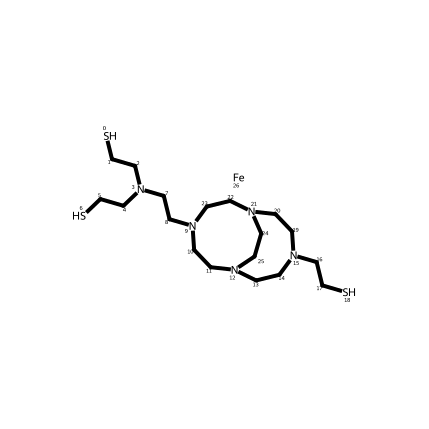 SCCN(CCS)CCN1CCN2CCN(CCS)CCN(CC1)CC2.[Fe]